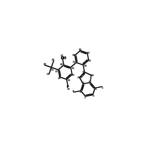 Cc1ccc(C)c2c1C=C(c1ccccc1-c1cc(F)cc(C(C)(C)C)c1O)C2